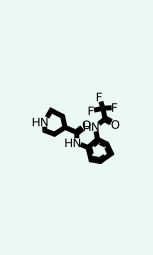 O=C(Nc1ccccc1NC(=O)C(F)(F)F)C1CCNCC1